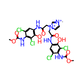 COC(=O)Nc1c(Cl)cc(NC(=O)C[N+]2(CC(=O)Nc3cc(Cl)c(NC(=O)OC)c(Cl)c3O)C=C[N+]=C2)c(O)c1Cl